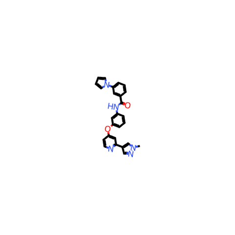 Cn1cc(-c2cc(Oc3cccc(NC(=O)c4cccc(-n5cccc5)c4)c3)ccn2)cn1